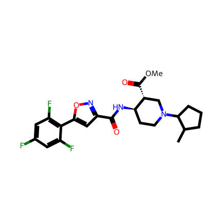 COC(=O)[C@@H]1CN(C2CCCC2C)CC[C@H]1NC(=O)c1cc(-c2c(F)cc(F)cc2F)on1